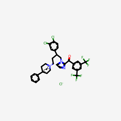 O=C(c1cc(C(F)(F)F)cc(C(F)(F)F)c1)c1nccn1CC(CC[N+]12CCC(c3ccccc3)(CC1)CC2)c1ccc(Cl)c(Cl)c1.[Cl-]